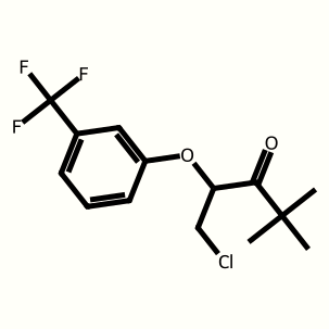 CC(C)(C)C(=O)C(CCl)Oc1cccc(C(F)(F)F)c1